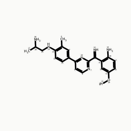 Cc1cc(-c2ccnc(C(=N)c3cc(OC(C)C)ccc3N)n2)ccc1NCC(C)N